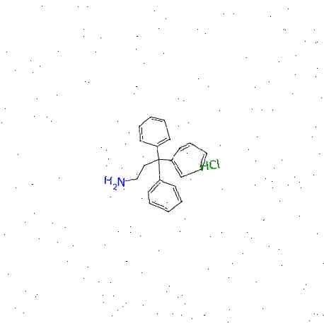 Cl.NCCC(c1ccccc1)(c1ccccc1)c1ccccc1